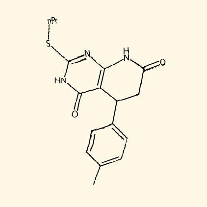 CCCSc1nc2c(c(=O)[nH]1)C(c1ccc(C)cc1)CC(=O)N2